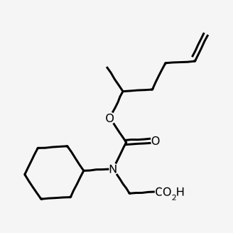 C=CCCC(C)OC(=O)N(CC(=O)O)C1CCCCC1